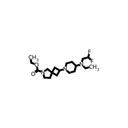 CCOC(=O)N1CCC2(CC(N3CCC(N(CC)CC(F)F)CC3)C2)C1